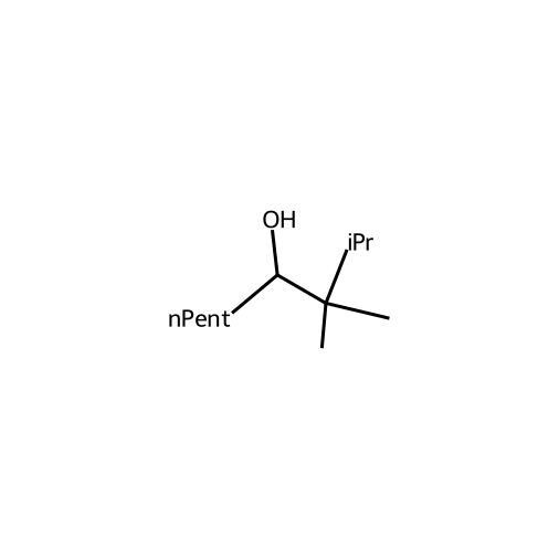 CCCCCC(O)C(C)(C)C(C)C